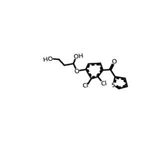 O=C(c1cccs1)c1ccc(OC(O)CCO)c(Cl)c1Cl